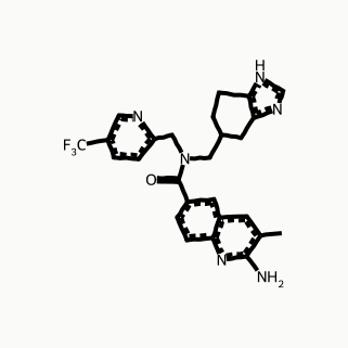 Cc1cc2cc(C(=O)N(Cc3ccc(C(F)(F)F)cn3)CC3CCc4[nH]cnc4C3)ccc2nc1N